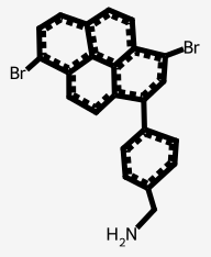 NCc1ccc(-c2cc(Br)c3ccc4ccc(Br)c5ccc2c3c45)cc1